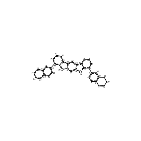 C1=Cc2ccc(-c3cccc4c3oc3cc5oc6c(-c7ccc8ccccc8c7)cccc6c5cc34)cc2CC1